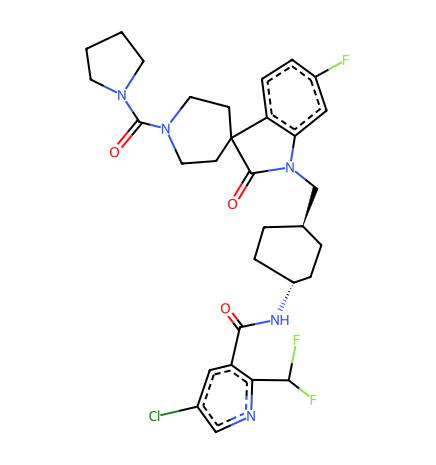 O=C(N[C@H]1CC[C@H](CN2C(=O)C3(CCN(C(=O)N4CCCC4)CC3)c3ccc(F)cc32)CC1)c1cc(Cl)cnc1C(F)F